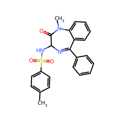 Cc1ccc(S(=O)(=O)NC2N=C(c3ccccc3)c3ccccc3N(C)C2=O)cc1